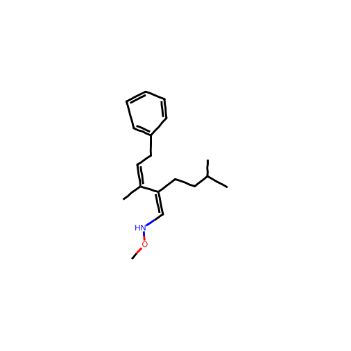 CON/C=C(CCC(C)C)\C(C)=C/Cc1ccccc1